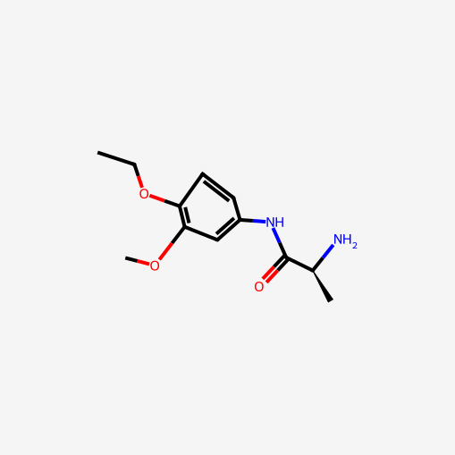 CCOc1ccc(NC(=O)[C@H](C)N)cc1OC